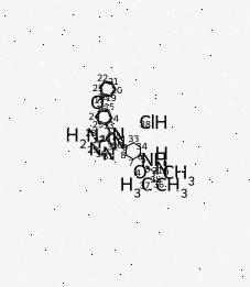 CNC(C(=O)NC1CCC(n2nc(-c3ccc(Oc4ccccc4)cc3)c3c(N)ncnc32)CC1)C(C)C.Cl